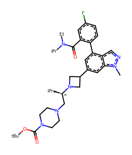 CCN(C(=O)c1cc(F)ccc1-c1cc(C2CN([C@@H](CN3CCN(C(=O)OC(C)(C)C)CC3)C(C)C)C2)cc2c1cnn2C)C(C)C